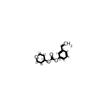 C=Cc1cccc(OC(=O)OC2CCOCC2)c1